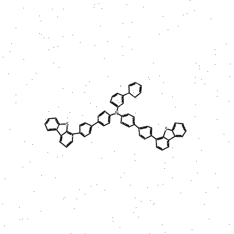 C1=CCC(c2cccc(N(c3ccc(-c4ccc(-c5cccc6c5sc5ccccc56)cc4)cc3)c3ccc(-c4ccc(-c5cccc6c5sc5ccccc56)cc4)cc3)c2)C=C1